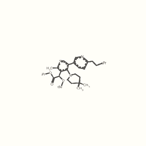 Cc1ncc(-c2ccc(CCC(C)C)nc2)c(N2CCC(C)(C)CC2)c1C(OC(C)(C)C)C(=O)OC(C)C